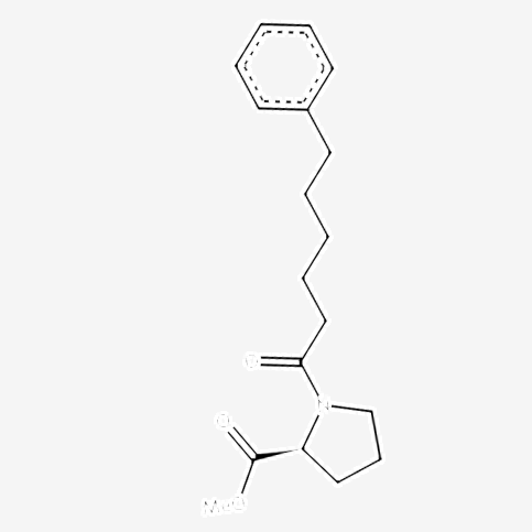 COC(=O)[C@@H]1CCCN1C(=O)CCCCCc1ccccc1